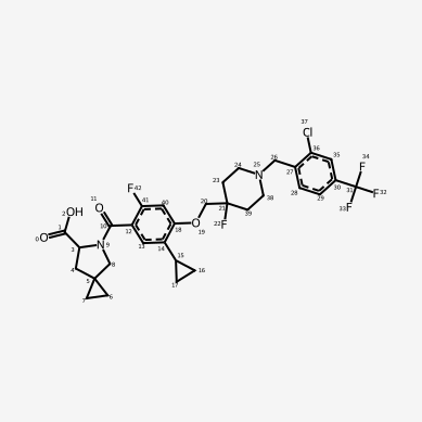 O=C(O)C1CC2(CC2)CN1C(=O)c1cc(C2CC2)c(OCC2(F)CCN(Cc3ccc(C(F)(F)F)cc3Cl)CC2)cc1F